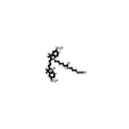 C[N+]1=C(/C=C/C=C2\N(CCCCCC(=O)NCCCN=[N+]=N)c3ccc(S(=O)(=O)O)cc3C2(C)C)C(C)(C)c2cc(S(=O)(=O)O)ccc21